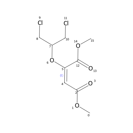 COC(=O)/C=C(/OC(CCl)CCl)C(=O)OC